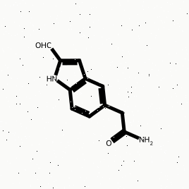 NC(=O)[CH]c1ccc2[nH]c(C=O)cc2c1